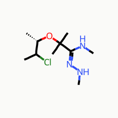 CN/N=C(\NC)C(C)(C)O[C@@H](C)C(C)Cl